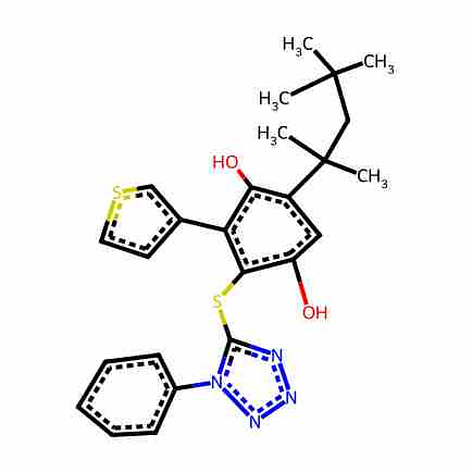 CC(C)(C)CC(C)(C)c1cc(O)c(Sc2nnnn2-c2ccccc2)c(-c2ccsc2)c1O